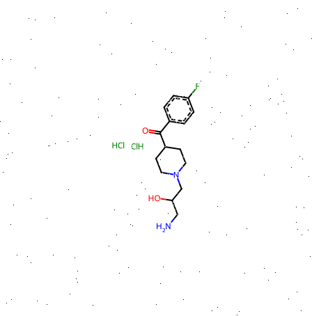 Cl.Cl.NCC(O)CN1CCC(C(=O)c2ccc(F)cc2)CC1